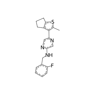 Cc1sc2c(c1-c1cnc(NCc3ccccc3F)cn1)CCC2